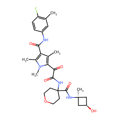 Cc1cc(NC(=O)c2c(C)c(C(=O)C(=O)NC3(C(=O)N[C@]4(C)C[C@H](O)C4)CCOCC3)n(C)c2C)ccc1F